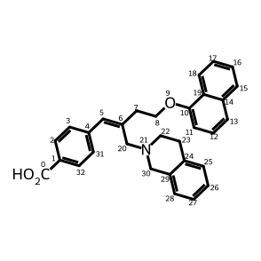 O=C(O)c1ccc(/C=C(/CCOc2cccc3ccccc23)CN2CCc3ccccc3C2)cc1